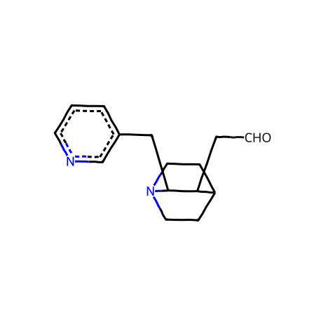 O=CCC1C2CCN(CC2)C1Cc1cccnc1